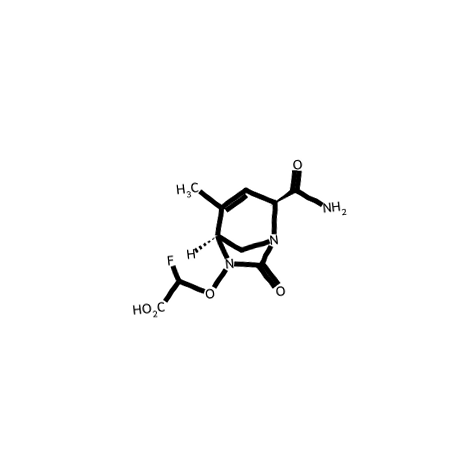 CC1=C[C@@H](C(N)=O)N2C[C@H]1N(OC(F)C(=O)O)C2=O